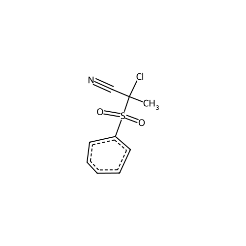 CC(Cl)(C#N)S(=O)(=O)c1ccccc1